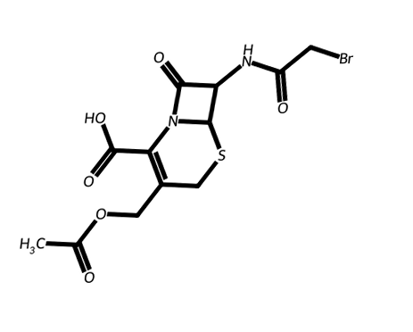 CC(=O)OCC1=C(C(=O)O)N2C(=O)C(NC(=O)CBr)C2SC1